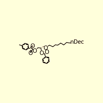 CCCCCCCCCCCCCCCCCCOC[C@@H](COS(=O)(=O)c1ccc(C)cc1)OC(=O)c1ccccc1